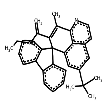 C=C(NCC)C1=C(C)c2nccc3cc(C(C)(C)C)cc(c23)C12c1ccccc1-c1ccccc12